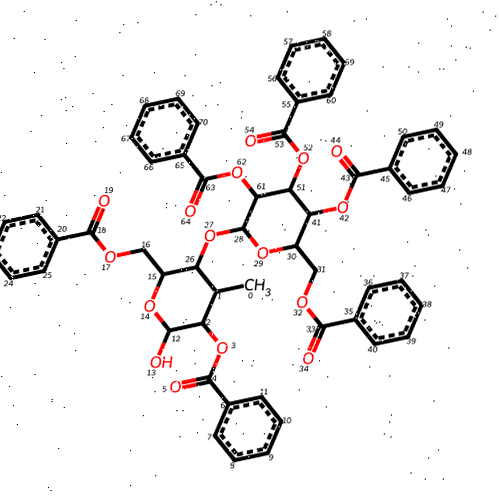 CC1C(OC(=O)c2ccccc2)C(O)OC(COC(=O)c2ccccc2)C1OC1OC(COC(=O)c2ccccc2)C(OC(=O)c2ccccc2)C(OC(=O)c2ccccc2)C1OC(=O)c1ccccc1